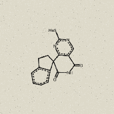 CSc1ncc2c(n1)C1(CCc3ccccc31)C(=O)NC2=O